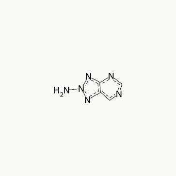 Nn1nc2cncnc2n1